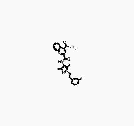 Cc1nn(CCc2cccc(F)c2)c(C)c1NC(=O)c1cc(C(N)=O)c2ccccc2n1